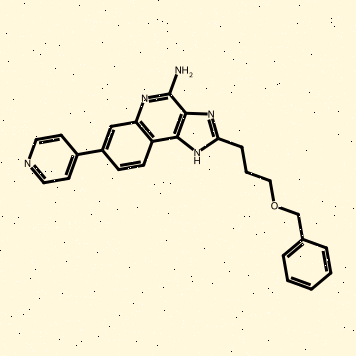 Nc1nc2cc(-c3ccncc3)ccc2c2[nH]c(CCCOCc3ccccc3)nc12